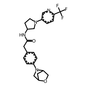 O=C(Cc1ccc(N2CC3CC2CO3)cc1)NC1CCN(c2ccc(C(F)(F)F)nc2)C1